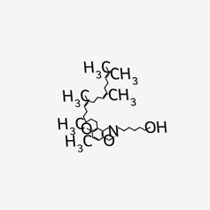 CC(C)=CCCC(C)=CCCC(C)=CCCC1(C)CCc2c3c(cc(C)c2O1)OCN(CCCCCCO)C3